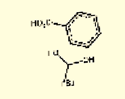 CCCCC(O)O.O=C(O)c1ccccc1